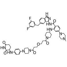 CN1CCN(c2ccc(C(=O)Nc3n[nH]c4ccc(Cc5cc(F)cc(F)c5)cc34)c(NC3CCN(C(=O)CCOCCC(=O)N4CCN(c5ccc(NC6CCC(=O)NC6=O)cc5)CC4)CC3)c2)CC1